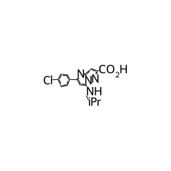 CC(C)CNc1cc(-c2ccc(Cl)cc2)nc2cc(C(=O)O)nn12